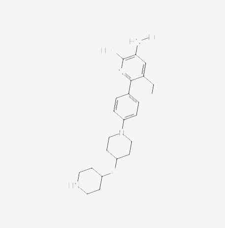 CCNc1cc(CF)c(-c2ccc(N3CCC(OC4CCNCC4)CC3)cc2)nc1C